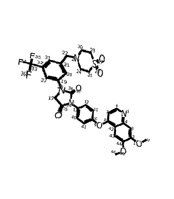 COc1cc2nccc(Oc3ccc(N4C(=O)CN(c5cc(CN6CCS(=O)(=O)CC6)cc(C(F)(F)F)c5)C4=O)cc3)c2cc1OC